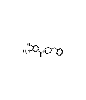 C=C(c1ccc(CC)c(N)c1)N1CCC(Cc2ccccc2)CC1